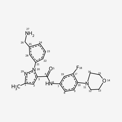 Cc1cc(C(=O)Nc2ccc(N3CCOCC3)c(F)c2)n(-c2cccc(CN)c2)n1